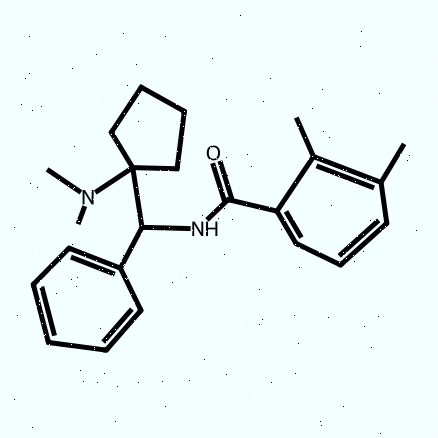 Cc1cccc(C(=O)NC(c2ccccc2)C2(N(C)C)CCCC2)c1C